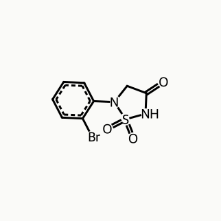 O=C1CN(c2ccccc2Br)S(=O)(=O)N1